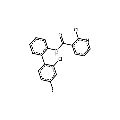 O=C(Nc1ccccc1-c1ccc(Cl)cc1Cl)c1cccnc1Cl